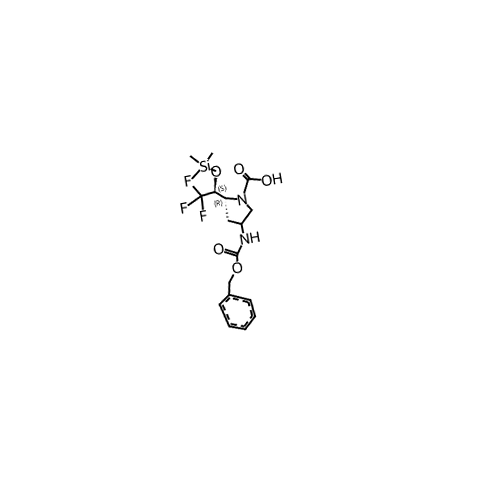 C[Si](C)(C)O[C@@H]([C@H]1CC(NC(=O)OCc2ccccc2)CN1C(=O)O)C(F)(F)F